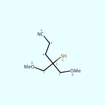 COCC(S)(CCC#N)COC